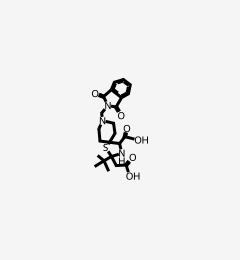 CC(C)(C)C1(CC(=O)O)NC(C(=O)O)C2(CCN(CN3C(=O)c4ccccc4C3=O)CC2)S1